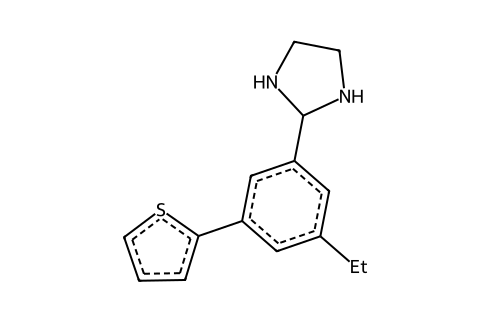 CCc1cc(-c2cccs2)cc(C2NCCN2)c1